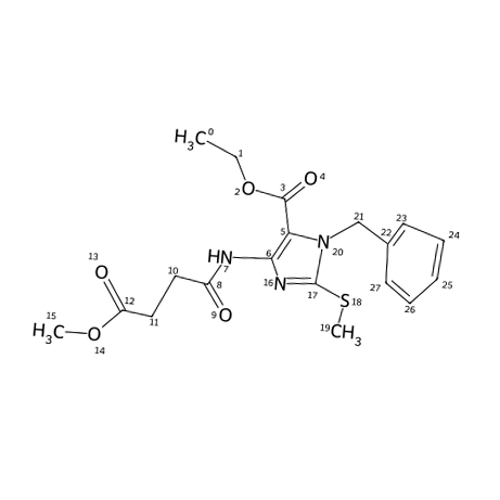 CCOC(=O)c1c(NC(=O)CCC(=O)OC)nc(SC)n1Cc1ccccc1